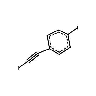 IC#Cc1ccc(I)cc1